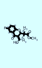 COC(=O)C(C)(C)C1Oc2ccc(F)cc2C(=O)/C1=C\O